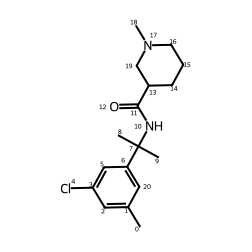 Cc1cc(Cl)cc(C(C)(C)NC(=O)C2CCCN(C)C2)c1